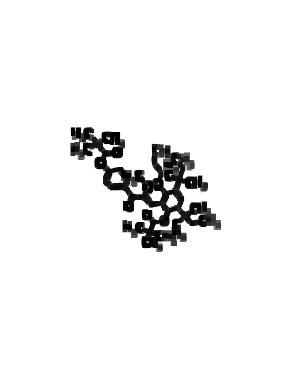 CCCOc1c(C(C)(C)CC)cc(C(C)(C)CC)c(OC(=O)C(C)(C)C)c1C=C(OC)C(=O)c1ccc(OC(=O)C(C)(C)C)cc1